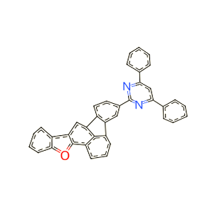 c1ccc(-c2cc(-c3ccccc3)nc(-c3ccc4c(c3)-c3cccc5c3c-4cc3c4ccccc4oc53)n2)cc1